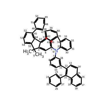 CC1(C)c2cc(N(c3cccc(-c4ccc5ccccc5c4-c4ccccc4)c3)c3ccccc3-c3ccccc3)ccc2-c2c(-c3ccccc3)cccc21